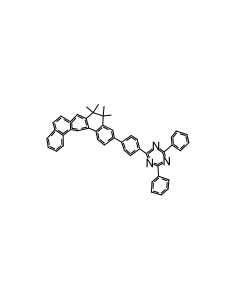 CC1(C)c2cc(-c3ccc(-c4nc(-c5ccccc5)nc(-c5ccccc5)n4)cc3)ccc2-c2cc3c(ccc4ccccc43)cc2C1(C)C